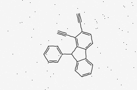 C#Cc1ccc2c(c1C#C)C(c1ccccc1)c1ccccc1-2